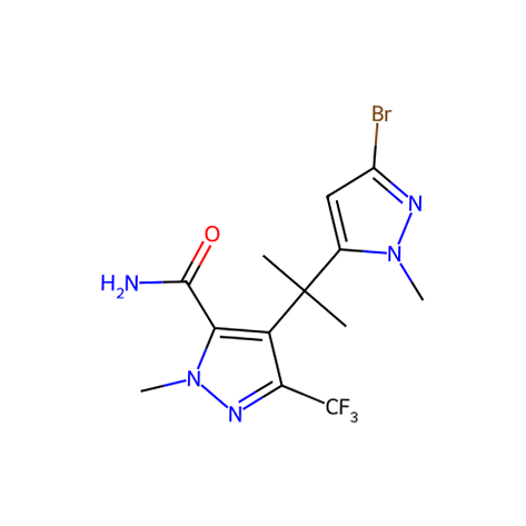 Cn1nc(Br)cc1C(C)(C)c1c(C(F)(F)F)nn(C)c1C(N)=O